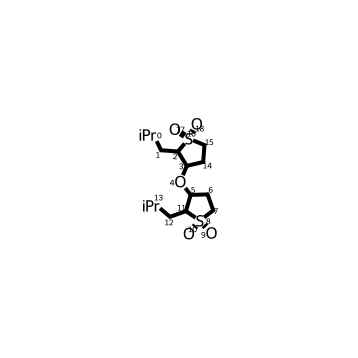 CC(C)CC1C(OC2CCS(=O)(=O)C2CC(C)C)CCS1(=O)=O